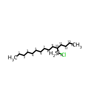 CCCCCCCCCCC(CCCC)[SiH2]Cl